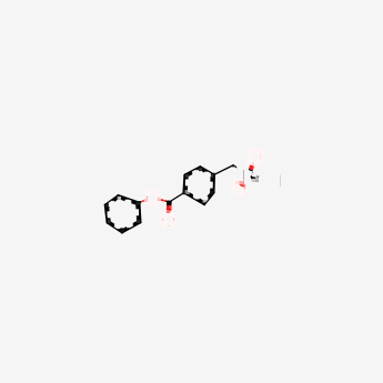 C[Te](=O)(=O)Cc1ccc(C(=O)Oc2ccccc2)cc1